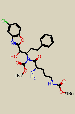 CC(C)(C)OC(=O)NCCC[C@@H](N)C(=O)N(C(=O)OC(C)(C)C)[C@H](CCc1ccccc1)C(O)c1nc2cc(Cl)ccc2o1